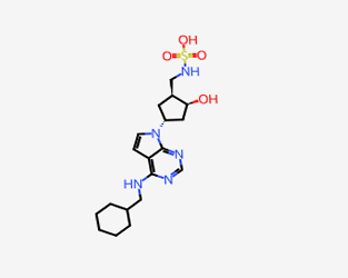 O=S(=O)(O)NC[C@@H]1C[C@@H](n2ccc3c(NCC4CCCCC4)ncnc32)C[C@@H]1O